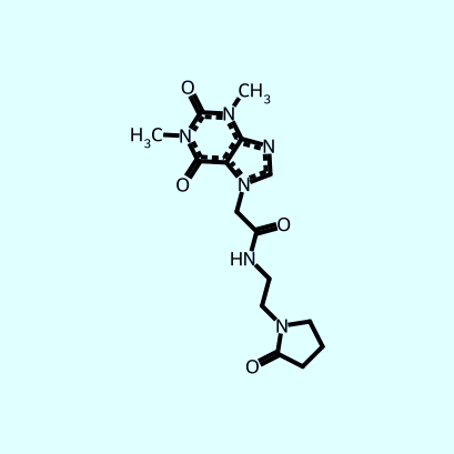 Cn1c(=O)c2c(ncn2CC(=O)NCCN2CCCC2=O)n(C)c1=O